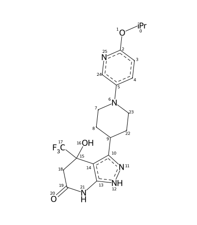 CC(C)Oc1ccc(N2CCC(c3n[nH]c4c3C(O)(C(F)(F)F)CC(=O)N4)CC2)cn1